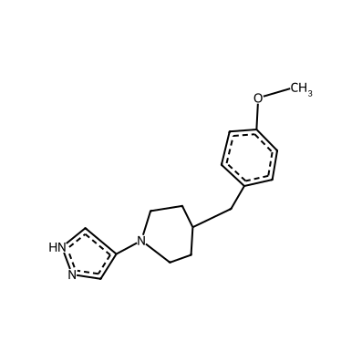 COc1ccc(CC2CCN(c3cn[nH]c3)CC2)cc1